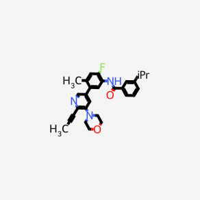 CC#Cc1ncc(-c2cc(NC(=O)c3cccc(C(C)C)c3)c(F)cc2C)cc1N1CCOCC1